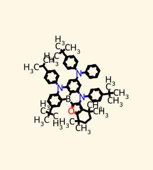 CC(C)c1ccc(N2c3ccc(C(C)(C)C)cc3B3c4oc5c(c4N(c4ccc(C(C)(C)C)cc4)c4cc(N(c6ccccc6)c6ccc(C(C)(C)C)cc6)cc2c43)C(C)(C)CCC5(C)C)cc1